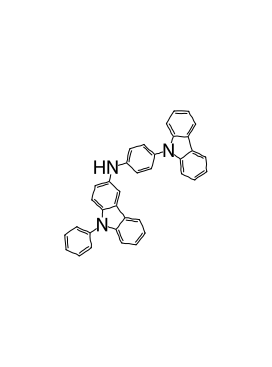 c1ccc(-n2c3ccccc3c3cc(Nc4ccc(-n5c6ccccc6c6ccccc65)cc4)ccc32)cc1